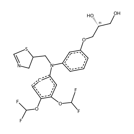 OC[C@@H](O)COc1cccc(N(CC2CN=CS2)c2ccc(OC(F)F)c(OC(F)F)c2)c1